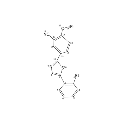 CCc1[c]cccc1-c1cnc(-c2ccc(OC(C)C)c(C#N)c2)s1